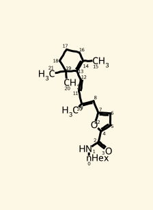 CCCCCCNC(=O)c1ccc(C=C(C)C=CC2=C(C)CCCC2(C)C)o1